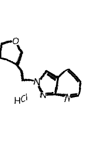 Cl.c1cnc2nn(CC3CCOC3)cc2c1